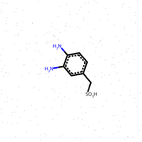 Nc1ccc(CS(=O)(=O)O)cc1N